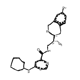 O=C(NC[C@@H](O)[C@@H]1Cc2ccc(O)cc2CN1)c1cc(NC2CCCCC2)ncn1